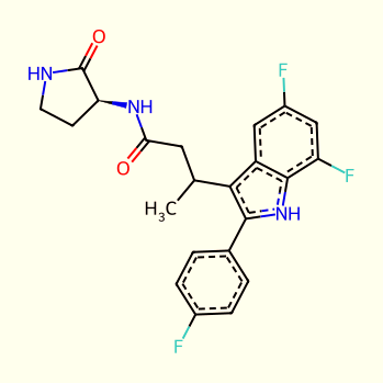 CC(CC(=O)N[C@H]1CCNC1=O)c1c(-c2ccc(F)cc2)[nH]c2c(F)cc(F)cc12